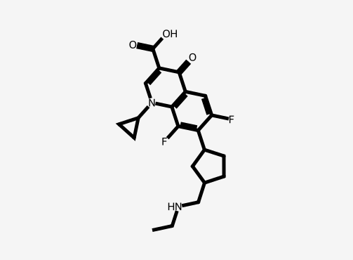 CCNCC1CCC(c2c(F)cc3c(=O)c(C(=O)O)cn(C4CC4)c3c2F)C1